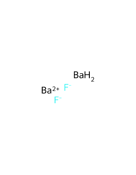 [Ba+2].[BaH2].[F-].[F-]